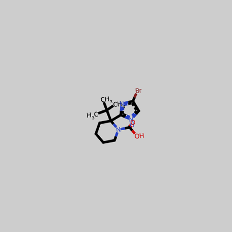 CC(C)(C)C1(c2nc(Br)c[nH]2)CCCCN1C(=O)O